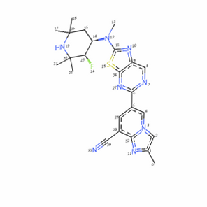 Cc1cn2cc(-c3ncc4nc(N(C)[C@@H]5CC(C)(C)NC(C)(C)[C@@H]5F)sc4n3)cc(C#N)c2n1